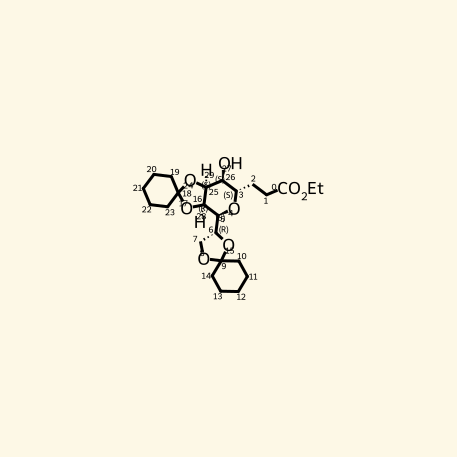 CCOC(=O)CC[C@@H]1O[C@@H]([C@H]2COC3(CCCCC3)O2)[C@H]2OC3(CCCCC3)O[C@H]2[C@H]1O